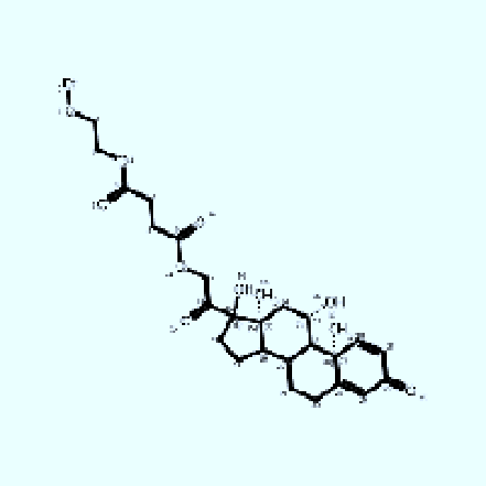 [CH2]COCCOC(=O)CCC(=O)OCC(=O)[C@@]1(O)CCC2C3CCC4=CC(=O)C=C[C@]4(C)C3[C@@H](O)C[C@@]21C